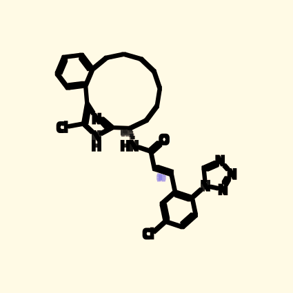 O=C(/C=C/c1cc(Cl)ccc1-n1cnnn1)N[C@H]1CCCCCCCc2ccccc2-c2nc1[nH]c2Cl